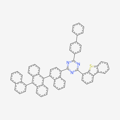 c1ccc(-c2ccc(-c3nc(-c4ccc(-c5c6ccccc6c(-c6cccc7ccccc67)c6ccccc56)c5ccccc45)nc(-c4cccc5c4sc4ccccc45)n3)cc2)cc1